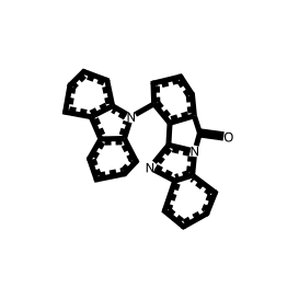 O=C1c2cccc(-n3c4ccccc4c4ccccc43)c2-c2nc3ccccc3n21